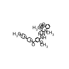 COc1cc(C(=O)N2CCC(N3CCN(C)CC3)CC2)ccc1Nc1ncc2c(n1)N(C)c1ccccc1S(=O)(=O)N2C